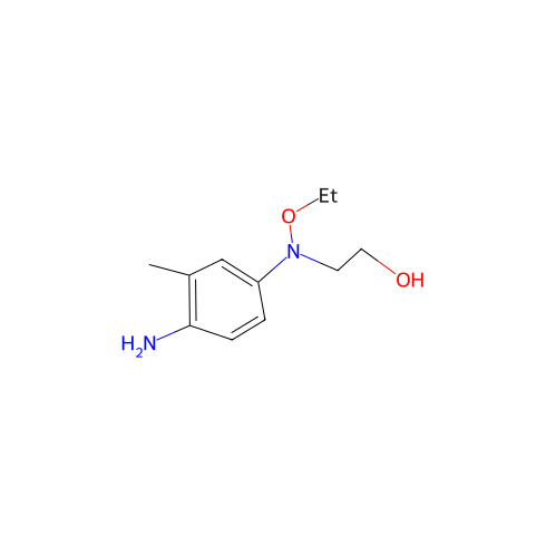 CCON(CCO)c1ccc(N)c(C)c1